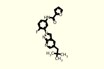 CC(C)(C)Cc1cnc2nn(-c3cc(NC(=O)c4ccco4)ccc3F)cc2c1